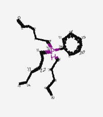 CCCCC[PH](CCCCC)(CCCCC)c1ccccc1